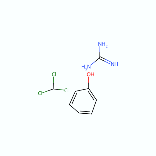 ClC(Cl)Cl.N=C(N)N.Oc1ccccc1